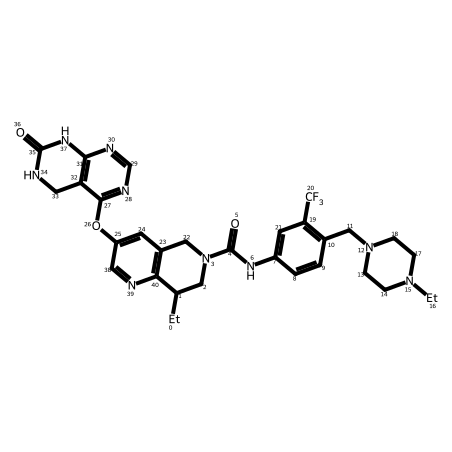 CCC1CN(C(=O)Nc2ccc(CN3CCN(CC)CC3)c(C(F)(F)F)c2)Cc2cc(Oc3ncnc4c3CNC(=O)N4)cnc21